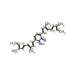 Cc1cc(-c2sc(-c3ccc(-c4cc(C)c(-c5cc(C)c(C)s5)s4)c4nsnc34)cc2C)sc1C